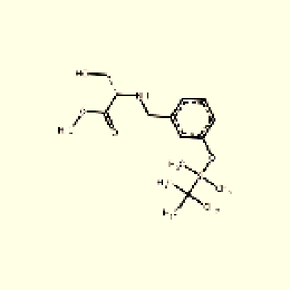 COC(=O)[C@H](CO)NCc1cccc(O[Si](C)(C)C(C)(C)C)c1